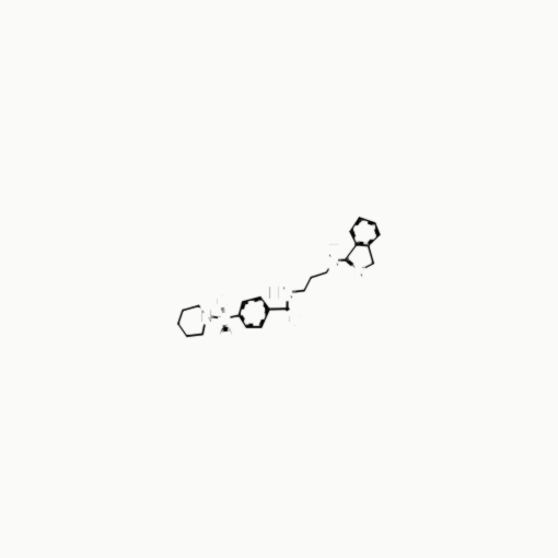 O=C(NCCCNC1=NCc2ccccc21)c1ccc(S(=O)(=O)N2CCCCC2)cc1